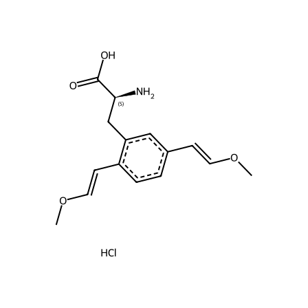 COC=Cc1ccc(C=COC)c(C[C@H](N)C(=O)O)c1.Cl